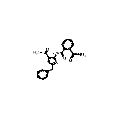 NC(=O)c1ccccc1C(=O)Nc1sc(Cc2ccccc2)cc1C(N)=O